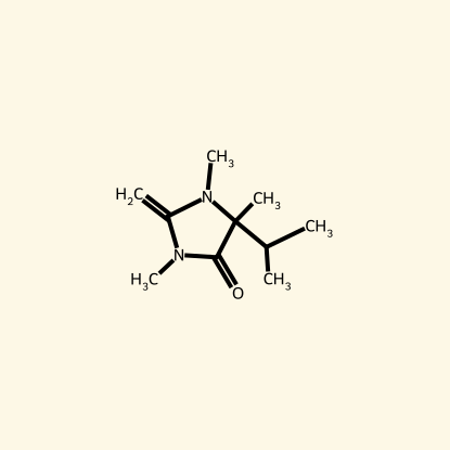 C=C1N(C)C(=O)C(C)(C(C)C)N1C